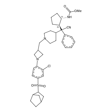 COC(=O)N[C@H]1CCC[C@@H]1C(C#N)(c1ccccc1)C1CCN(CC2CN(c3ccc(S(=O)(=O)C4CC5CCC4C5)cc3Cl)C2)CC1